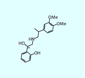 COc1ccc(C(C)CNC[C@H](O)c2ccccc2O)cc1OC